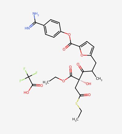 CCOC(=O)[C@](O)(CC(=O)SCC)C(=O)C(C)Cc1ccc(C(=O)Oc2ccc(C(=N)N)cc2)o1.O=C(O)C(F)(F)F